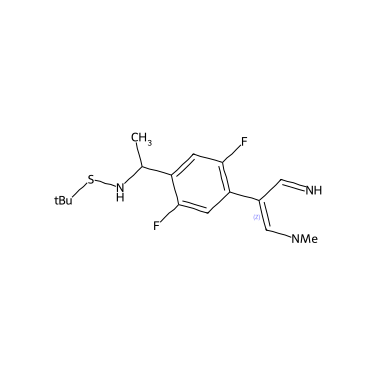 CN/C=C(\C=N)c1cc(F)c(C(C)NSC(C)(C)C)cc1F